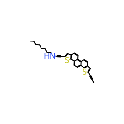 CC#Cc1cc2ccc3c4ccc5cc(C#CNCCCCCCCC)sc5c4ccc3c2s1